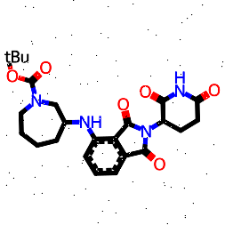 CC(C)(C)OC(=O)N1CCCCC(Nc2cccc3c2C(=O)N(C2CCC(=O)NC2=O)C3=O)C1